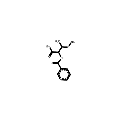 CC(OC(C)(C)C)C(NC(=O)c1cccnc1)C(=O)C(C)(C)C